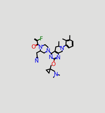 C=C(F)C(=O)N1CCN(c2nc(OCC3(CN(C)C)CC3)nc3c2CC(C)N(c2cccc(C)c2C)C3)CC1CC#N